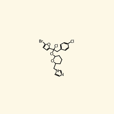 Clc1ccc(CC(Cl)(OC2CCCC(Cn3ccnc3)O2)c2ccc(Br)o2)cc1